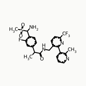 Cc1ncccc1-c1nc(C(F)(F)F)ccc1CNC(=O)C(C)c1ccc(C(N)S(C)(=O)=O)c(F)c1